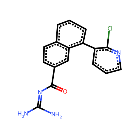 NC(N)=NC(=O)c1ccc2cccc(-c3cccnc3Cl)c2c1